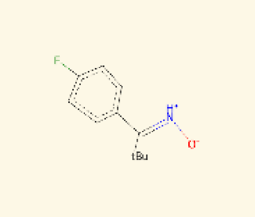 CC(C)(C)C(=[NH+][O-])c1ccc(F)cc1